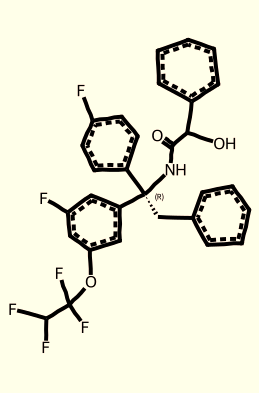 O=C(N[C@](Cc1ccccc1)(c1ccc(F)cc1)c1cc(F)cc(OC(F)(F)C(F)F)c1)C(O)c1ccccc1